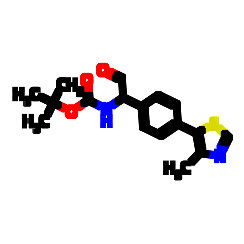 Cc1ncsc1-c1ccc(C(C=O)NC(=O)OC(C)(C)C)cc1